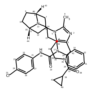 Cc1nc2c(n1C1C[C@H]3CC[C@@H](C1)N3CCCN(C(=O)Nc1ccc(Cl)cc1)c1ccccc1)CCN(C(=O)C1CC1)C2